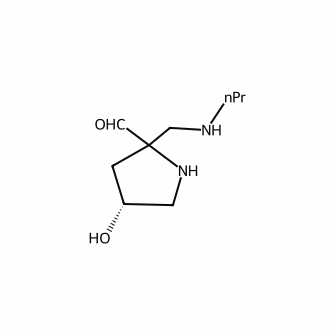 CCCNCC1(C=O)C[C@@H](O)CN1